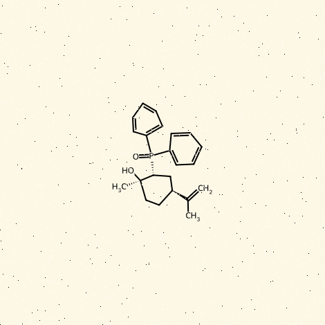 C=C(C)[C@H]1CC[C@@](C)(O)[C@H](P(=O)(c2ccccc2)c2ccccc2)C1